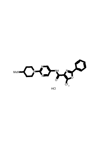 CNC1CCN(c2ncc(NC(=O)c3nc(-c4ccccc4)oc3C(F)(F)F)cn2)CC1.Cl